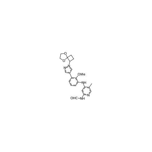 COc1c(Nc2cc(NC=O)ncc2C)cccc1-c1cnn(C2CCC23OCCO3)c1